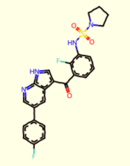 O=C(c1cccc(NS(=O)(=O)N2CCCC2)c1F)c1c[nH]c2ncc(-c3ccc(F)cc3)cc12